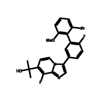 COc1cccc(C(C)C)c1-c1cc(-c2cnc3c(F)c(C(C)(C)O)ccn23)ccc1F